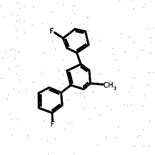 Cc1cc(-c2cccc(F)c2)cc(-c2cccc(F)c2)c1